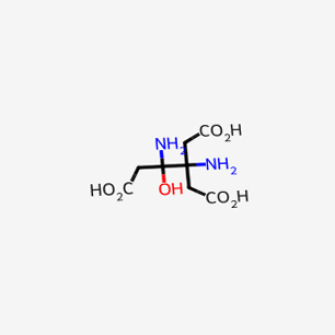 NC(O)(CC(=O)O)C(N)(CC(=O)O)CC(=O)O